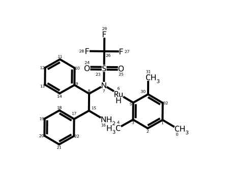 Cc1cc(C)[c]([RuH][N](C(c2ccccc2)C(N)c2ccccc2)S(=O)(=O)C(F)(F)F)c(C)c1